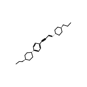 CCC[C@H]1CC[C@H](C=CC#Cc2ccc([C@H]3CC[C@H](CCC)CC3)cc2)CC1